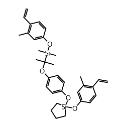 C=Cc1ccc(O[Si]2(Oc3ccc(OC(C)(C)[Si](C)(C)Oc4ccc(C=C)c(C)c4)cc3)CCCC2)cc1C